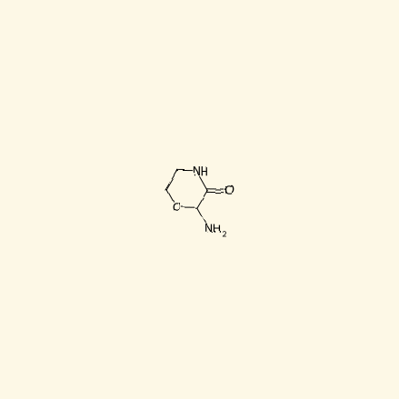 NC1OCCNC1=O